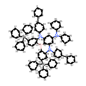 c1ccc(-c2ccc(N3c4cc([Si](c5ccccc5)(c5ccccc5)c5ccccc5)ccc4B4c5ccc([Si](c6ccccc6)(c6ccccc6)c6ccccc6)cc5N(c5ccc(-c6ccccc6)cc5)c5cc(N(c6ccccc6)c6ccccc6)cc3c54)cc2)cc1